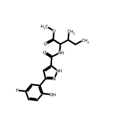 CCC(C)C(NC(=O)c1cc(-c2cc(F)ccc2O)n[nH]1)C(=O)OC